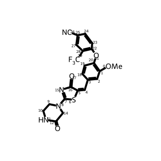 COc1cc(/C=C2/SC(N3CCNC(=O)C3)=NC2=O)ccc1Oc1ccc(C#N)cc1C(F)(F)F